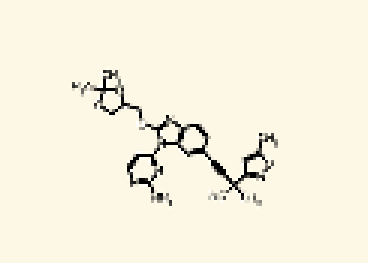 Cc1cc(C(C)(O)C#Cc2ccc3nc(OCC4COC(C)(C)O4)n(-c4ccnc(N)n4)c3c2)no1